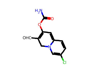 NC(=O)OC1=C(C=O)CN2C=C(Cl)C=CC2=C1